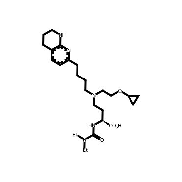 CCN(CC)C(=O)N[C@@H](CCN(CCCCc1ccc2c(n1)NCCC2)CCOC1CC1)C(=O)O